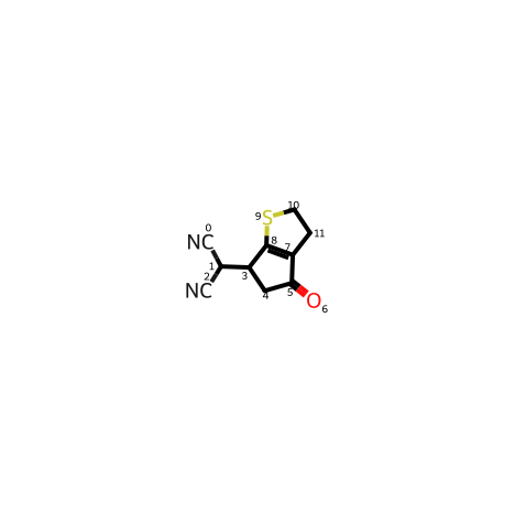 N#CC(C#N)C1CC(=O)C2=C1SCC2